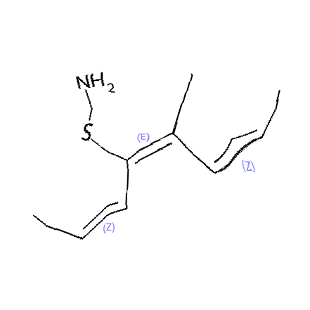 C\C=C/C(C)=C(\C=C/C)SN